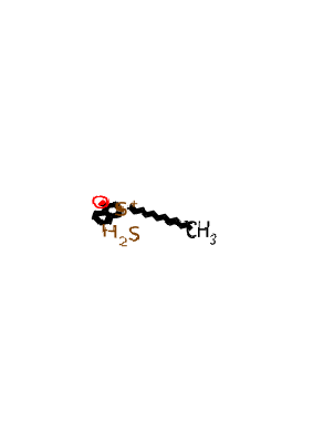 CCCCCCCCCCCC[S+]1CC(=O)c2ccccc2C1.S